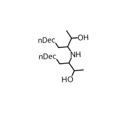 CCCCCCCCCCCC(NC(CCCCCCCCCCC)C(C)O)C(C)O